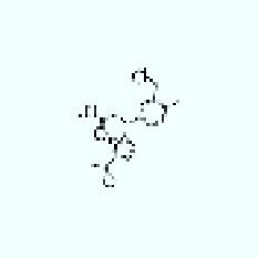 COC(=O)CC(c1ccc(C)c(CCl)c1)c1ccc(C(C)=O)s1